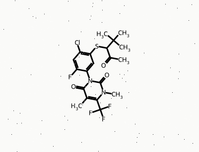 CC(=O)C(Sc1cc(-n2c(=O)c(C)c(C(F)(F)F)n(C)c2=O)c(F)cc1Cl)C(C)(C)C